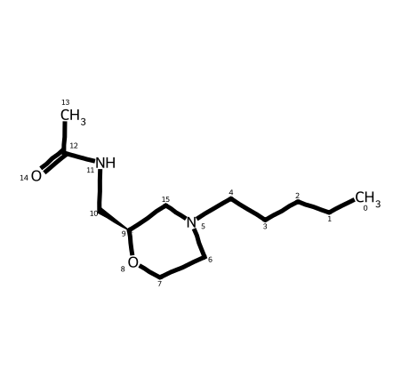 CCCCCN1CCO[C@@H](CNC(C)=O)C1